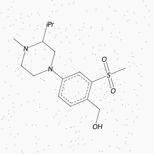 CC(C)C1CN(c2ccc(CO)c(S(C)(=O)=O)c2)CCN1C